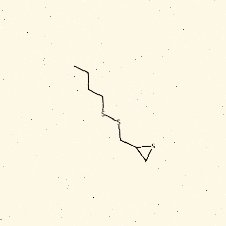 CCCCSSCC1CS1